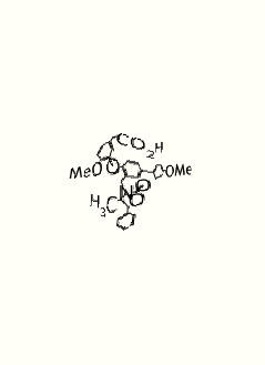 COc1ccc(-c2ccc(Oc3cc(CC(=O)O)ccc3OC)c(CN3C(=O)OC(c4ccccc4)C3C)c2)cc1